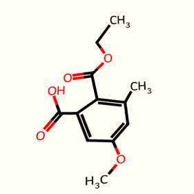 CCOC(=O)c1c(C)cc(OC)cc1C(=O)O